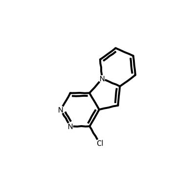 Clc1nncc2c1cc1ccccn12